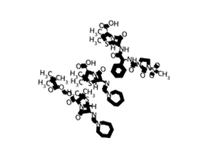 CC(C)(C)C(=O)OCOC(=O)[C@@H]1N2C(=O)[C@@H](N=CN3CCCCCC3)[C@H]2SC1(C)C.CC1(C)S[C@@H]2[C@H](N=CN3CCCCCC3)C(=O)N2[C@H]1C(=O)O.CC1(C)S[C@@H]2[C@H](NC(=O)[C@H](NC(=O)N3CCN(S(C)(=O)=O)C3=O)c3ccccc3)C(=O)N2[C@H]1C(=O)O